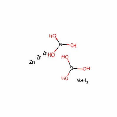 OB(O)O.OB(O)O.[SbH3].[Zn].[Zn].[Zn]